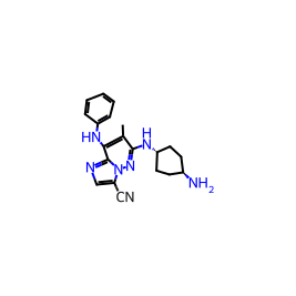 Cc1c(N[C@H]2CC[C@H](N)CC2)nn2c(C#N)cnc2c1Nc1ccccc1